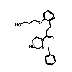 O=C(CCc1ccccc1OCCCO)N1CCNC[C@H]1Cc1ccccc1